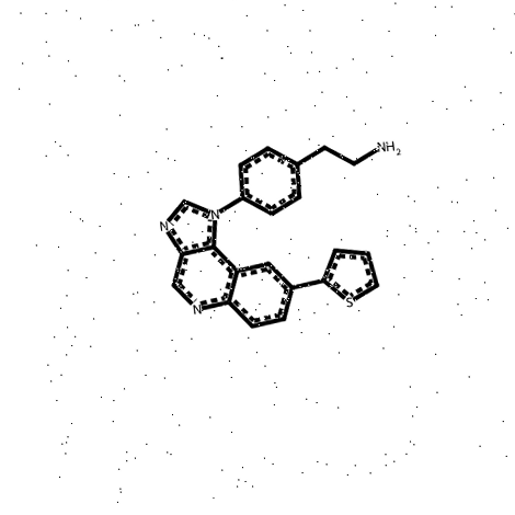 NCCc1ccc(-n2cnc3cnc4ccc(-c5cccs5)cc4c32)cc1